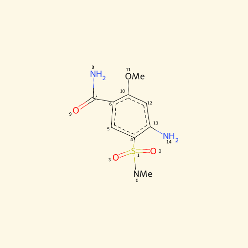 CNS(=O)(=O)c1cc(C(N)=O)c(OC)cc1N